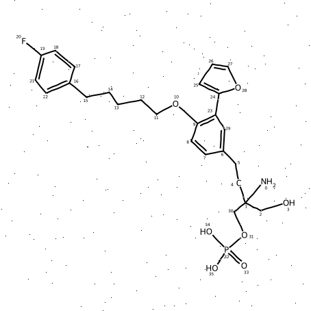 NC(CO)(CCc1ccc(OCCCCCc2ccc(F)cc2)c(-c2ccco2)c1)COP(=O)(O)O